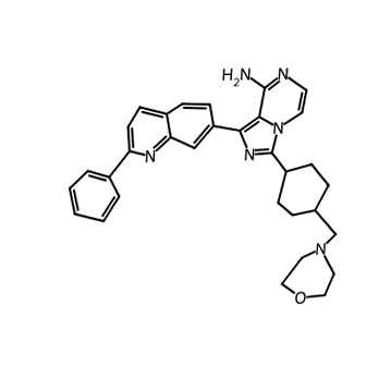 Nc1nccn2c(C3CCC(CN4CCOCC4)CC3)nc(-c3ccc4ccc(-c5ccccc5)nc4c3)c12